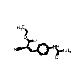 CCOC(=O)C(C#N)=Cc1ccc(NC(C)=O)cc1